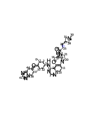 Cc1cc(Nc2ncnc3ccc4c(c23)OC[C@H]2CN4CCN2C(=O)/C=C/C2CN(C)C2)ccc1Oc1ccn2ncnc2c1